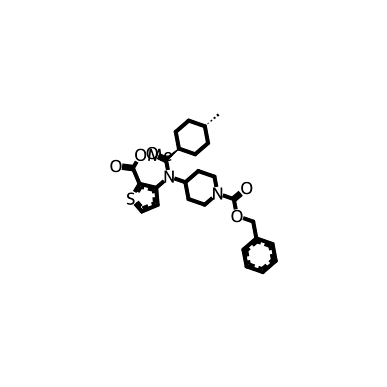 COC(=O)c1sccc1N(C(=O)[C@H]1CC[C@H](C)CC1)C1CCN(C(=O)OCc2ccccc2)CC1